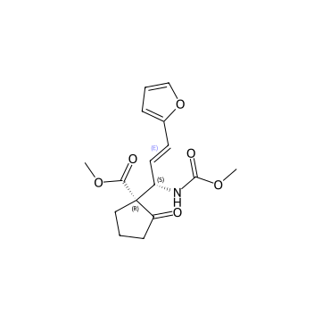 COC(=O)N[C@@H](/C=C/c1ccco1)[C@]1(C(=O)OC)CCCC1=O